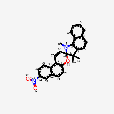 CN1c2c(ccc3ccccc23)C(C)(C)C12C=Cc1c(ccc3cc([N+](=O)[O-])ccc13)O2